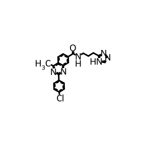 Cc1nc(-c2ccc(Cl)cc2)nc2cc(C(=O)NCCCc3nnc[nH]3)ccc12